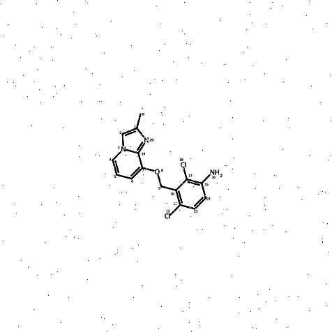 Cc1cn2cccc(OCc3c(Cl)ccc(N)c3Cl)c2n1